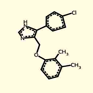 Cc1cccc(OCc2nc[nH]c2-c2ccc(Cl)cc2)c1C